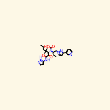 CCCC(C)(C)[C@@H](C(=O)C(=O)Nc1ccn[nH]1)N(C(=O)O)[C@@H](CC)Cn1ccc(-c2cccnc2)n1